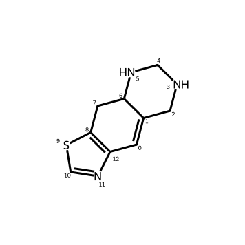 C1=C2CNCNC2Cc2scnc21